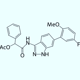 COc1ccc(F)cc1-c1ccc2c(NC(=O)C(OC(C)=O)c3ccccc3)n[nH]c2c1